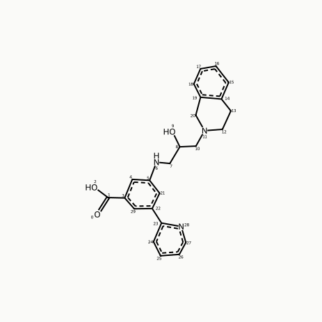 O=C(O)c1cc(NCC(O)CN2CCc3ccccc3C2)cc(-c2ccccn2)c1